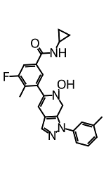 Cc1cccc(-n2ncc3c2CN(O)C(c2cc(C(=O)NC4CC4)cc(F)c2C)=C3)c1